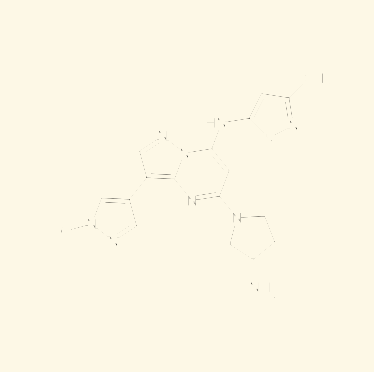 Cc1cc(Nc2cc(N3CC[C@H](N)C3)nc3c(-c4cnn(C)c4)cnn23)sn1